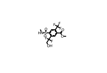 CNS(=O)(=O)c1cc(C(F)(F)F)c(C(=O)OC)cc1C(F)(F)CO